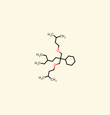 CCC(CC)CCC(COCCC(C)C)(COCCC(C)C)C1CCCCC1